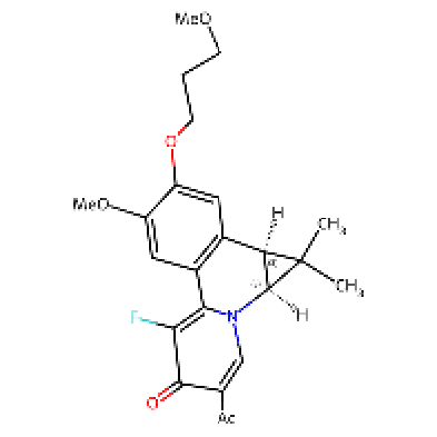 COCCCOc1cc2c(cc1OC)-c1c(F)c(=O)c(C(C)=O)cn1[C@H]1[C@@H]2C1(C)C